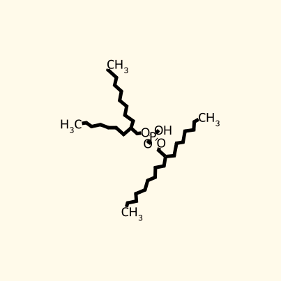 CCCCCCCCCC(CCCCCCC)COP(=O)(O)OCC(CCCCCCC)CCCCCCCCC